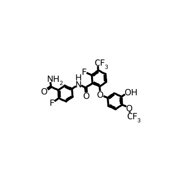 NC(=O)c1cc(NC(=O)c2c(Oc3ccc(OC(F)(F)F)c(O)c3)ccc(C(F)(F)F)c2F)ccc1F